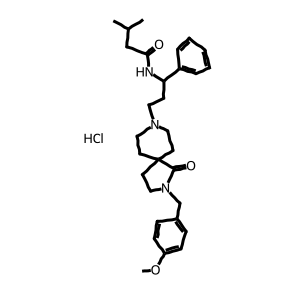 COc1ccc(CN2CCC3(CCN(CCC(NC(=O)CC(C)C)c4ccccc4)CC3)C2=O)cc1.Cl